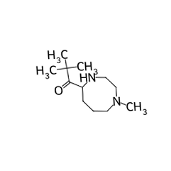 CN1CCCC(C(=O)C(C)(C)C)NCC1